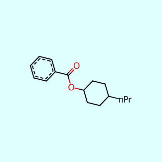 CCCC1CCC(OC(=O)c2ccccc2)CC1